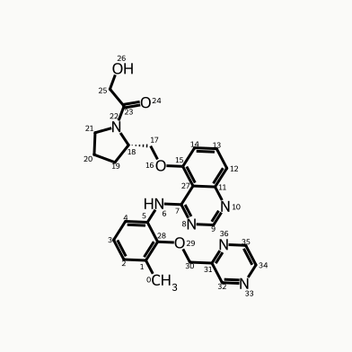 Cc1cccc(Nc2ncnc3cccc(OC[C@@H]4CCCN4C(=O)CO)c23)c1OCc1cnccn1